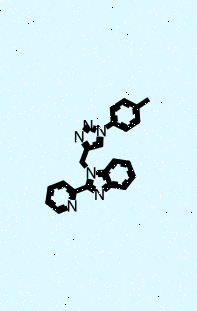 Cc1ccc(-n2cc(Cn3c(-c4ccccn4)nc4ccccc43)nn2)cc1